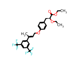 CCOC(=O)[C@H](Cc1ccc(OC/C=C(\C)c2cc(C(F)(F)F)cc(C(F)(F)F)c2)cc1)OCC